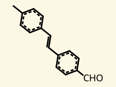 Cc1ccc(C=Cc2ccc(C=O)cc2)cc1